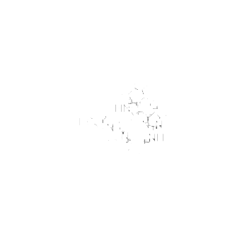 C=CC(=O)N1CCN([C@@H]2CCC[C@@H](Nc3ncc(Cl)c(-c4c[nH]c5ccccc45)n3)C2)CC1